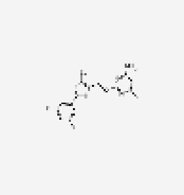 CCc1sc(-c2cc(F)cc(F)c2)nc1CSc1nc(C)cc(N)n1